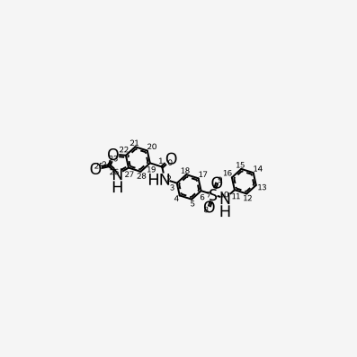 O=C(Nc1ccc(S(=O)(=O)Nc2ccccc2)cc1)c1ccc2oc(=O)[nH]c2c1